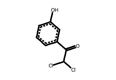 O=C(c1cccc(O)c1)C(Cl)Cl